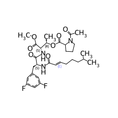 COC(=O)[C@@H](NC(=O)[C@H](Cc1cc(F)cc(F)c1)NC(=O)/C=C/CCCC(C)C)[C@@H](C)OC(=O)C1CCCN1C(C)=O